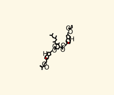 C=CC(=O)OCC1CC2C3CC(CC3COC(=O)C(CC(=O)OCC3CC4C5CC(CC5COC(=O)C(=C)C)[C@H]4C3)/C(C)=C/C(C)CC(C)CC(C)C)[C@H]2C1